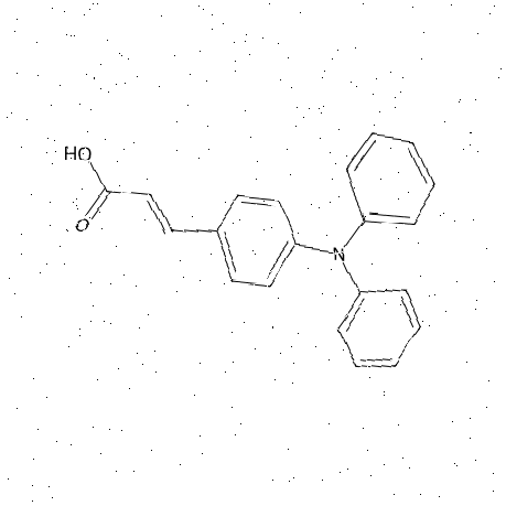 O=C(O)/C=C/c1ccc(N(c2ccccc2)c2ccccc2)cc1